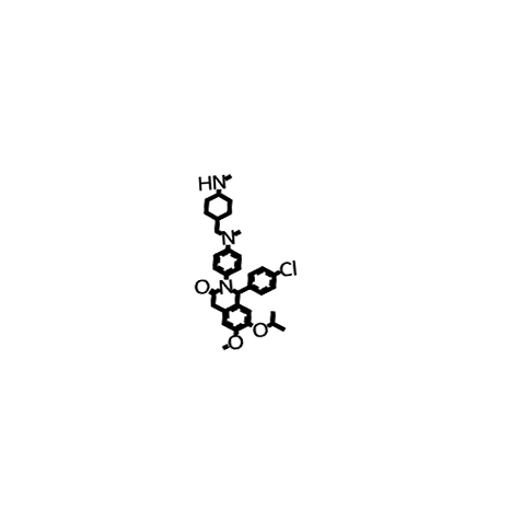 CNC1CCC(CN(C)c2ccc(N3C(=O)Cc4cc(OC)c(OC(C)C)cc4C3c3ccc(Cl)cc3)cc2)CC1